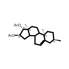 CC(=O)O[C@@H]1CC2C3CC=C4C[C@H](C)CC[C@]4(C)C3CC[C@]2(C)[C@H]1OC(C)=O